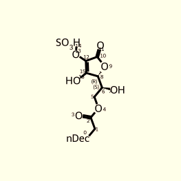 CCCCCCCCCCCC(=O)OC[C@H](O)[C@H]1OC(=O)C(OS(=O)(=O)O)=C1O